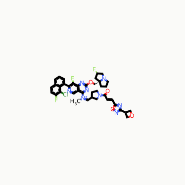 C/[N+](=C/C1CCN(C(=O)/C=C/c2nc(C3COC3)no2)C1)c1nc(OC[C@@]23CCCN2C[C@H](F)C3)nc2c(F)c(-c3cccc4ccc(F)c(Cl)c34)ncc12